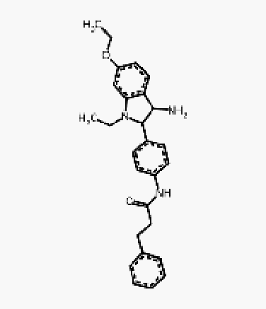 CCOc1ccc2c(c1)N(CC)C(c1ccc(NC(=O)CCc3ccccc3)cc1)C2N